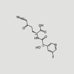 [N-]=[N+]=CC(=O)CC[C@H](NC(=O)[C@@H](O)c1cncc(F)c1)C(=O)O